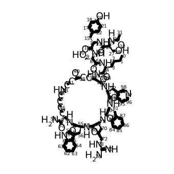 CCCC[C@H](NC(=O)[C@H](CO)NC(=O)[C@H](Cc1ccc(O)cc1)NC(=O)[C@H](CO)NC(C)=O)C(=O)N[C@H]1CCC(=O)CCNCCCC[C@@H](C(N)=O)NC(=O)[C@H](Cc2c[nH]c3ccccc23)NC(=O)[C@H](CCCNC(=N)N)NC(=O)[C@@H](Cc2ccccc2)NC(=O)[C@H](Cc2cccnc2)NC1=O